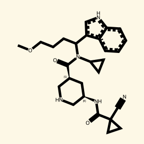 COCCCC(c1c[nH]c2ccccc12)N(C(=O)[C@@H]1CNC[C@H](NC(=O)C2(C#N)CC2)C1)C1CC1